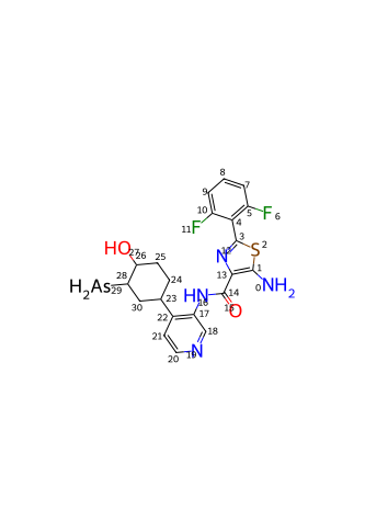 Nc1sc(-c2c(F)cccc2F)nc1C(=O)Nc1cnccc1C1CCC(O)C([AsH2])C1